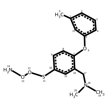 Cc1cccc(Oc2ccc(SOON)cc2CN(C)C)c1